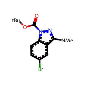 CNc1nn(C(=O)OC(C)(C)C)c2ccc(Br)cc12